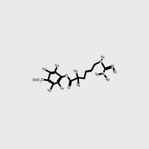 [2H]/N=C(\N([2H])[2H])N([2H])CCCCC([2H])([2H])C(=O)Oc1c([2H])c([2H])c(C(=O)OCC)c([2H])c1[2H]